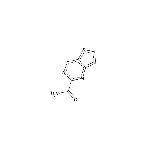 NC(=O)c1ncc2sccc2n1